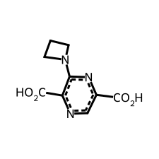 O=C(O)c1cnc(C(=O)O)c(N2CCC2)n1